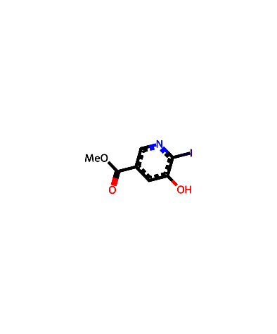 COC(=O)c1cnc(I)c(O)c1